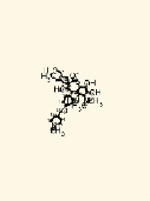 CCCCC1(CCCC)[C@H](O)[C@H](c2ccc(OCc3cc[n+](C)cc3)cc2)c2c(O)c(N(C)C)c(O)c(O)c2S[C@@H]1[O-]